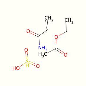 C=CC(N)=O.C=COC(C)=O.O=[SH](=O)O